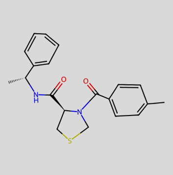 Cc1ccc(C(=O)N2CSC[C@H]2C(=O)N[C@H](C)c2ccccc2)cc1